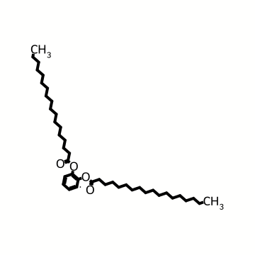 CCCCCCCCCCCCCCCCCC(=O)Oc1[c]cccc1OC(=O)CCCCCCCCCCCCCCCCC